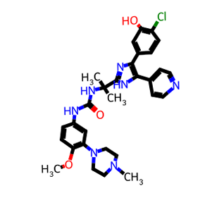 COc1ccc(NC(=O)NC(C)(C)c2nc(-c3ccc(Cl)c(O)c3)c(-c3ccncc3)[nH]2)cc1N1CCN(C)CC1